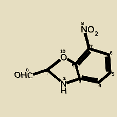 O=CC1Nc2cccc([N+](=O)[O-])c2O1